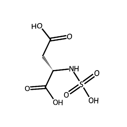 O=C(O)C[C@H](NS(=O)(=O)O)C(=O)O